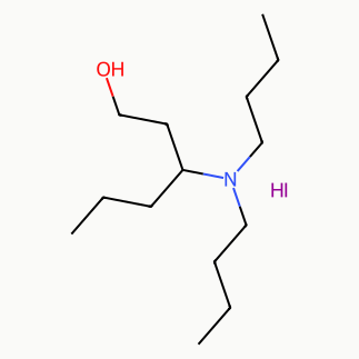 CCCCN(CCCC)C(CCC)CCO.I